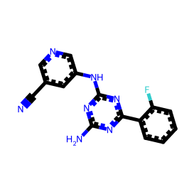 N#Cc1cncc(Nc2nc(N)nc(-c3ccccc3F)n2)c1